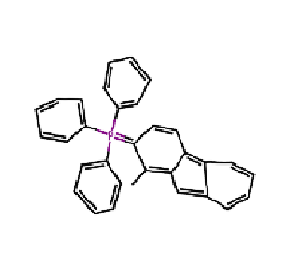 CC1=C2C=c3ccccc3=C2C=CC1=P(c1ccccc1)(c1ccccc1)c1ccccc1